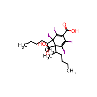 CCCCC(C)C1(I)C(I)=C(C(=O)O)C(I)=C(I)C1(C(=O)O)C(C)CCCC